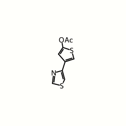 CC(=O)Oc1cc(-c2cscn2)cs1